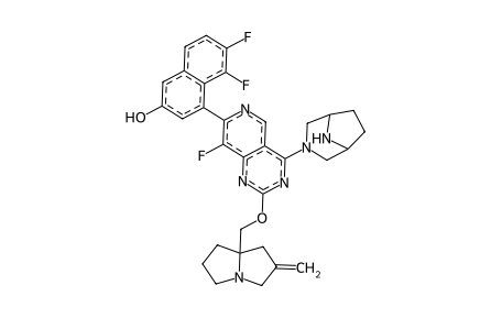 C=C1CN2CCCC2(COc2nc(N3CC4CCC(C3)N4)c3cnc(-c4cc(O)cc5ccc(F)c(F)c45)c(F)c3n2)C1